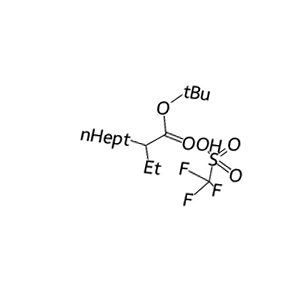 CCCCCCCC(CC)C(=O)OC(C)(C)C.O=S(=O)(O)C(F)(F)F